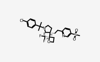 CC(C)(c1ccc(Cl)cc1)N1CC[C@@](CCc2ccc(S(C)(=O)=O)cn2)([C@@]2(C(F)(F)F)CCO2)C1